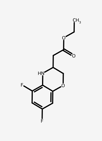 CCOC(=O)CC1COc2cc(F)cc(F)c2N1